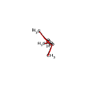 CCCCCCCCCCCCCCCCCC(=O)OC(=O)CCC(NCCCCC)C(=O)OC(=O)CCCCCCCCCCCCCCCCC